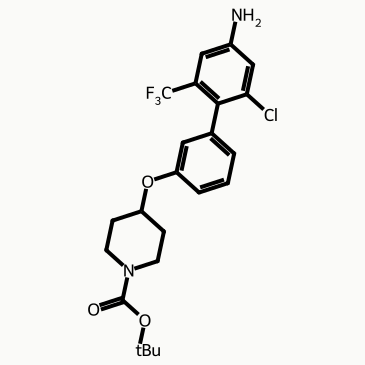 CC(C)(C)OC(=O)N1CCC(Oc2cccc(-c3c(Cl)cc(N)cc3C(F)(F)F)c2)CC1